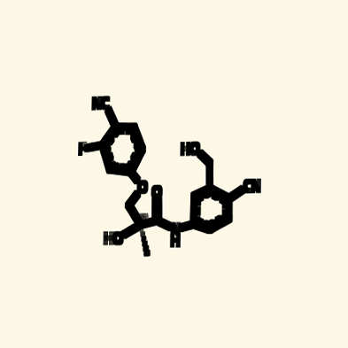 C[C@](O)(COc1ccc(C#N)c(F)c1)C(=O)Nc1ccc(C#N)c(CO)c1